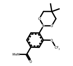 CNC(=O)c1ccc(B2OCC(C)(C)CO2)c(OC(F)(F)F)c1